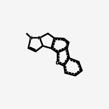 CN1C=CC2c3c(ccc4c3oc3ccccc34)CN21